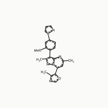 COc1cc(-n2cccn2)ccc1-c1c(C)nn2c(-c3ocnc3C)cc(C)nc12